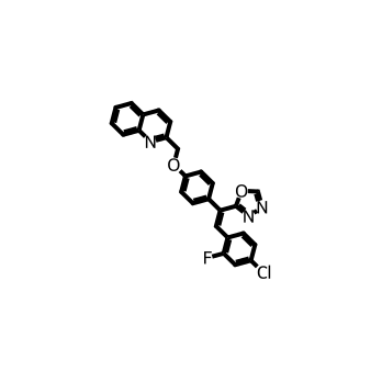 Fc1cc(Cl)ccc1/C=C(/c1ccc(OCc2ccc3ccccc3n2)cc1)c1nnco1